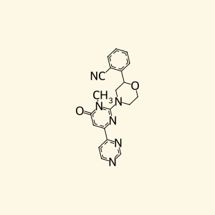 Cn1c(N2CCOC(c3ccccc3C#N)C2)nc(-c2ccncn2)cc1=O